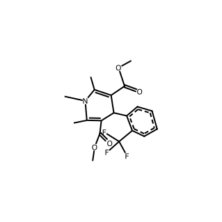 COC(=O)C1=C(C)N(C)C(C)=C(C(=O)OC)C1c1ccccc1C(F)(F)F